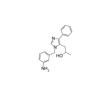 CC(O)Cc1c(-c2ccccc2)ncn1Cc1cccc(N)c1